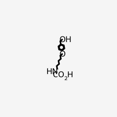 O=C(O)NCCCCCCOc1ccc(CO)cc1